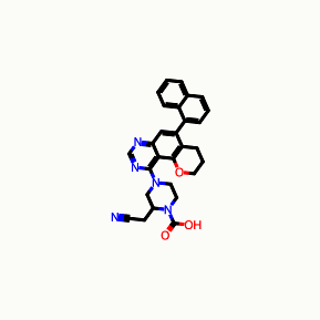 N#CCC1CN(c2ncnc3cc(-c4cccc5ccccc45)c4c(c23)OCCC4)CCN1C(=O)O